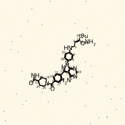 CC(C)(C)/C(=C/CNc1ccc(-n2nc(-c3ccc(C(=O)N4CCC(C(N)=O)CC4)cc3)c3c(N)ncnc32)cc1)ON